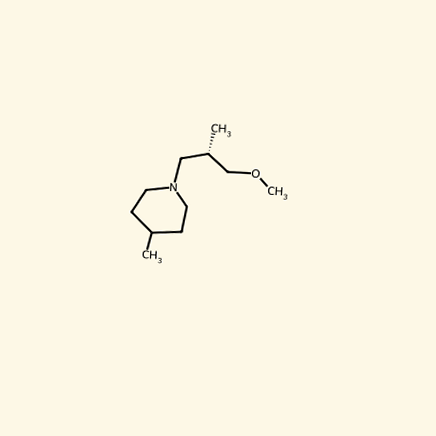 COC[C@@H](C)CN1CCC(C)CC1